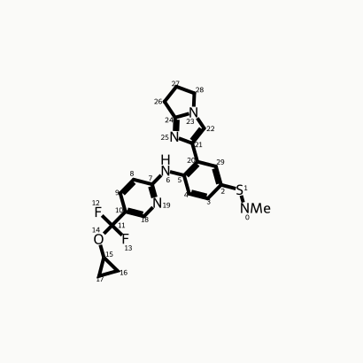 CNSc1ccc(Nc2ccc(C(F)(F)OC3CC3)cn2)c(-c2cn3c(n2)CCC3)c1